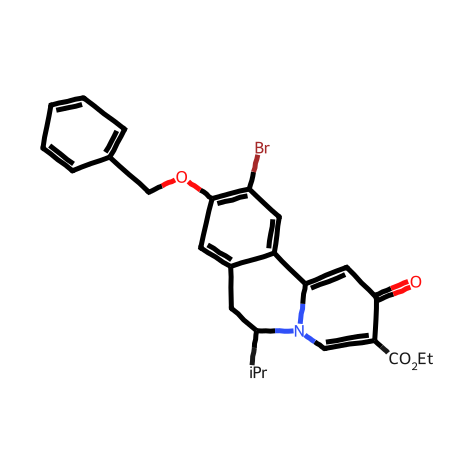 CCOC(=O)c1cn2c(cc1=O)-c1cc(Br)c(OCc3ccccc3)cc1CC2C(C)C